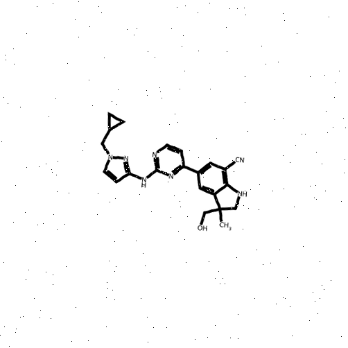 CC1(CO)CNc2c(C#N)cc(-c3ccnc(Nc4ccn(CC5CC5)n4)n3)cc21